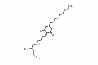 CCOC(C)ONCCCC=C1C(=O)CC(CCCSCCSCC)CC1=O